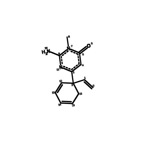 C=CC1(c2cc(=O)n(C)c(N)n2)C=CC=CC1